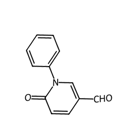 O=Cc1ccc(=O)n(-c2ccccc2)c1